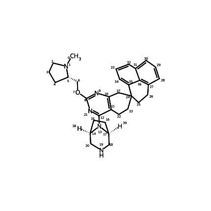 CN1CCC[C@H]1COc1nc2c(c(N3[C@@H]4CC[C@H]3CNC4)n1)CCC1(CCc3cccc4cccc1c34)C2